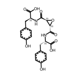 O=C(O)[C@H](Cc1ccc(O)cc1)NC(=O)[C@H]1O[C@@H]1C(=O)N[C@@H](Cc1ccc(O)cc1)C(=O)O